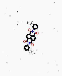 Cc1cccc(N2C(=O)c3ccc4c5c(ccc(c35)C2=O)C(=O)N(c2cccc(C)c2)C4=O)c1